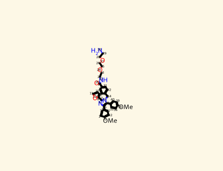 COc1ccc(-c2nc(-c3ccco3)n(Cc3ccc(C(=O)NCCOCCOCCN)cc3)c2-c2ccc(OC)cc2)cc1